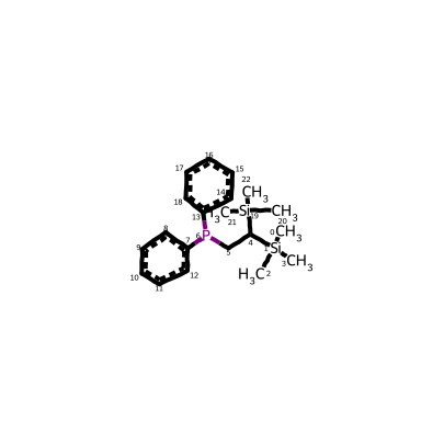 C[Si](C)(C)C(CP(c1ccccc1)c1ccccc1)[Si](C)(C)C